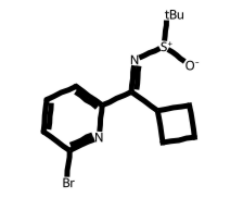 CC(C)(C)[S+]([O-])N=C(c1cccc(Br)n1)C1CCC1